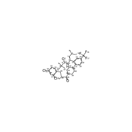 CC(C)C[C@H](N[S+]([O-])C(C)(C)C)c1cc(C(F)(F)F)ccc1N1CCN(C(=O)C(C)Cc2ccc(Cl)cc2Cl)CC1